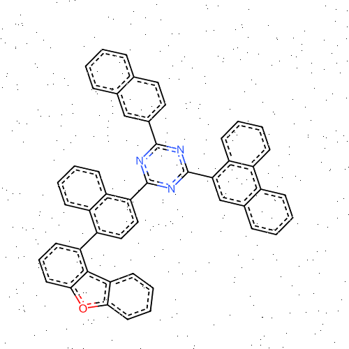 c1ccc2cc(-c3nc(-c4ccc(-c5cccc6oc7ccccc7c56)c5ccccc45)nc(-c4cc5ccccc5c5ccccc45)n3)ccc2c1